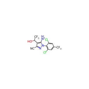 N#Cc1nn(-c2c(Cl)cc(C(F)(F)F)cc2Cl)c(N)c1C(O)C(F)(F)F